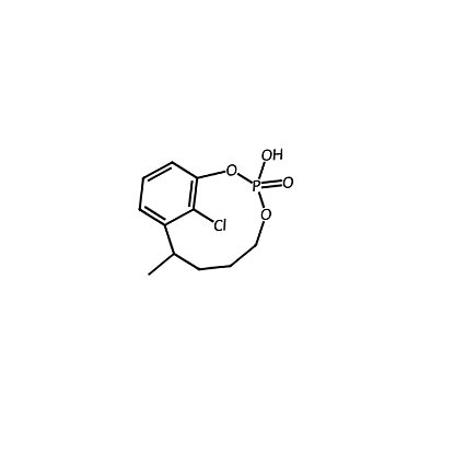 CC1CCCOP(=O)(O)Oc2cccc1c2Cl